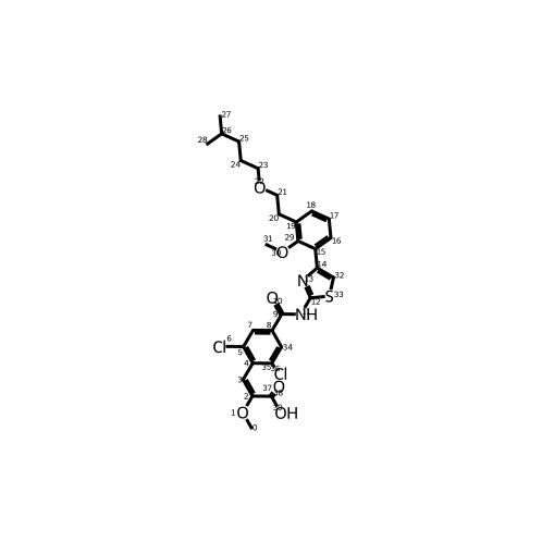 CO/C(=C/c1c(Cl)cc(C(=O)Nc2nc(-c3cccc(CCOCCCC(C)C)c3OC)cs2)cc1Cl)C(=O)O